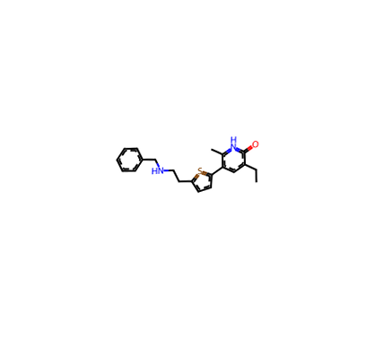 CCc1cc(-c2ccc(CCNCc3ccccc3)s2)c(C)[nH]c1=O